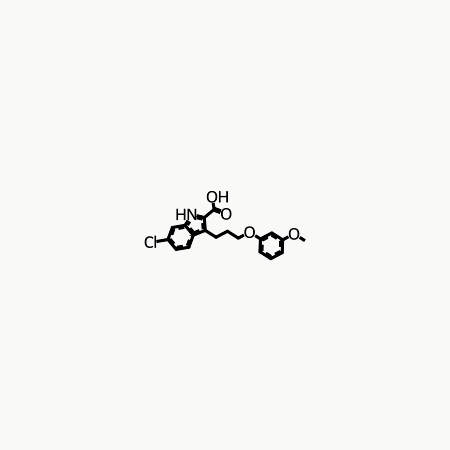 COc1cccc(OCCCc2c(C(=O)O)[nH]c3cc(Cl)ccc23)c1